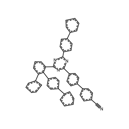 N#Cc1ccc(-c2ccc(-c3nc(-c4ccc(-c5ccccc5)cc4)nc(-c4cccc(-c5ccccc5)c4-c4ccc(-c5ccccc5)cc4)n3)cc2)cc1